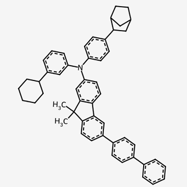 CC1(C)c2ccc(-c3ccc(-c4ccccc4)cc3)cc2-c2ccc(N(c3ccc(C4CC5CCC4C5)cc3)c3cccc(C4CCCCC4)c3)cc21